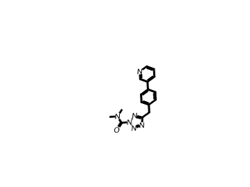 CN(C)C(=O)n1nnc(Cc2ccc(-c3cccnc3)cc2)n1